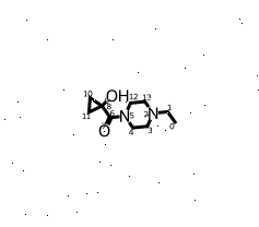 CCN1CCN(C(=O)C2(O)CC2)CC1